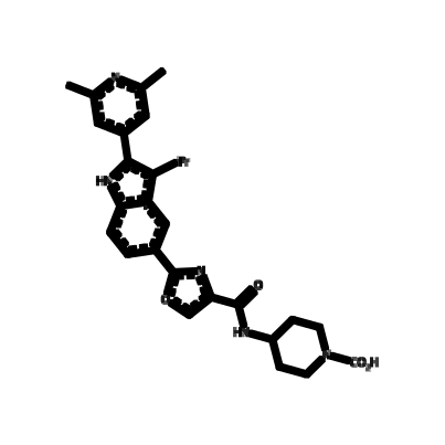 Cc1cc(-c2[nH]c3ccc(-c4nc(C(=O)NC5CCN(C(=O)O)CC5)co4)cc3c2C(C)C)cc(C)n1